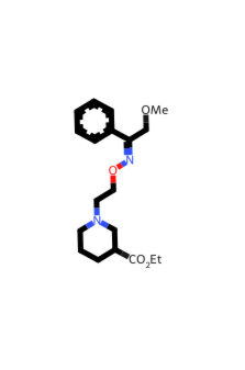 CCOC(=O)C1CCCN(CCON=C(COC)c2ccccc2)C1